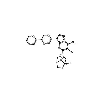 CC(=O)c1c([C@H]2CC3CC[C@@H](C2)N3C#N)nc2c(-c3ccc(-c4ccccc4)nc3)cnn2c1N